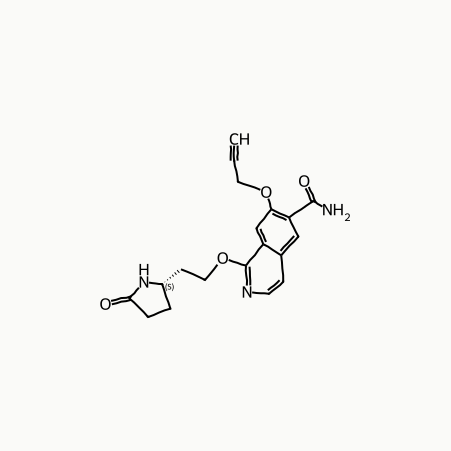 C#CCOc1cc2c(OCC[C@@H]3CCC(=O)N3)nccc2cc1C(N)=O